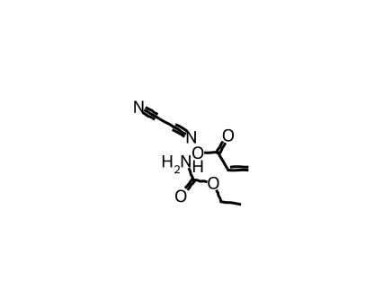 C=CC(=O)O.CCOC(N)=O.N#CC#N